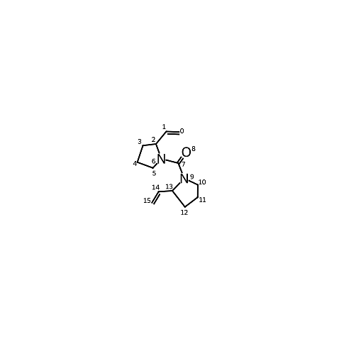 C=CC1CCCN1C(=O)N1CCCC1C=C